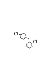 Clc1ccc([CH]c2ccccc2Cl)cc1